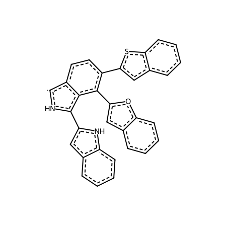 [c]1[nH]c(-c2cc3ccccc3[nH]2)c2c(-c3cc4ccccc4o3)c(-c3cc4ccccc4s3)ccc12